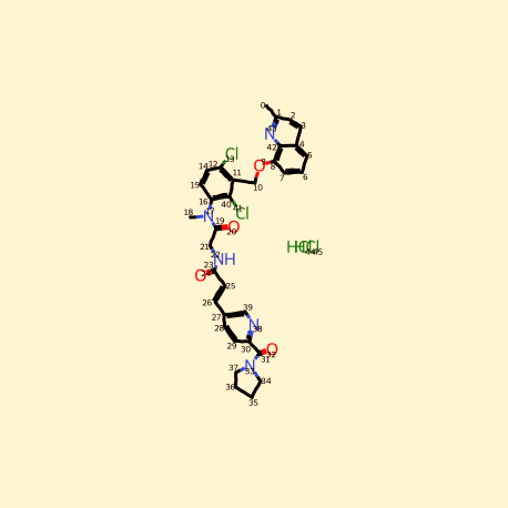 Cc1ccc2cccc(OCc3c(Cl)ccc(N(C)C(=O)CNC(=O)C=Cc4ccc(C(=O)N5CCCC5)nc4)c3Cl)c2n1.Cl.Cl